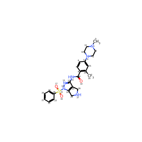 CN1CCN(c2ccc(C(=O)Nc3nn(S(=O)(=O)c4ccccc4)c4c3CNC4)c(C(F)(F)F)c2)CC1